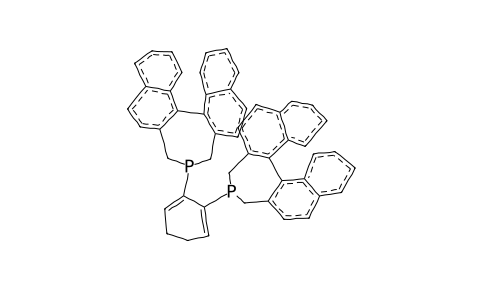 C1=C(P2Cc3ccc4ccccc4c3-c3c(ccc4ccccc34)C2)C(P2Cc3ccc4ccccc4c3-c3c(ccc4ccccc34)C2)=CCC1